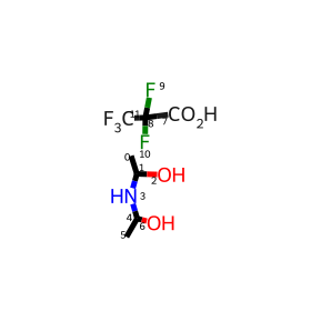 CC(O)NC(C)O.O=C(O)C(F)(F)C(F)(F)F